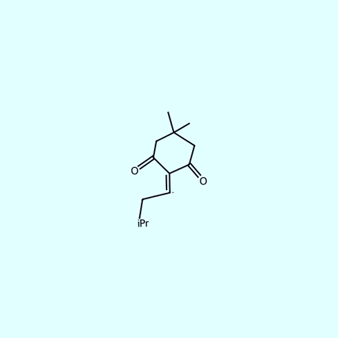 CC(C)C[C]=C1C(=O)CC(C)(C)CC1=O